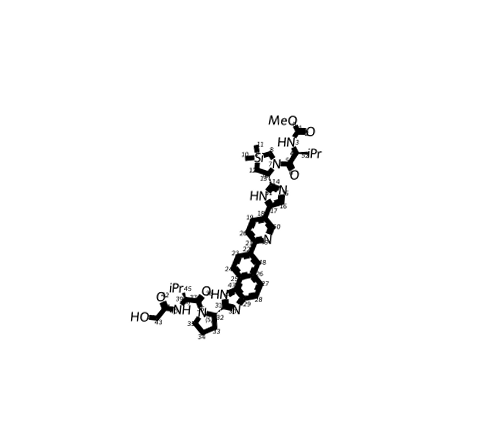 COC(=O)N[C@H](C(=O)N1C[Si](C)(C)C[C@H]1c1ncc(-c2ccc(-c3ccc4c(ccc5nc([C@@H]6CCCN6C(=O)[C@@H](NC(=O)CO)C(C)C)[nH]c54)c3)nc2)[nH]1)C(C)C